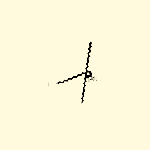 CCCCCCCCCCCCc1ccc(S(=O)(=O)[O-])c(CCCCCCCCCCCC)c1CCCCCCCCCCCC.[Na+]